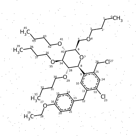 CCCCOC[C@H]1O[C@@H](c2cc(Cc3ccc(OCC)cc3)c(Cl)cc2CCl)[C@H](OCCCC)[C@@H](OCCCC)[C@@H]1OCCCC